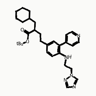 CC(C)(C)OC(=O)C(CCc1ccc(NCCn2cncn2)c(-c2ccncc2)c1)CC1CCCCC1